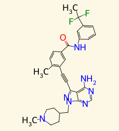 Cc1ccc(C(=O)Nc2cccc(C(C)(F)F)c2)cc1C#Cc1nn(CC2CCN(C)CC2)c2ncnc(N)c12